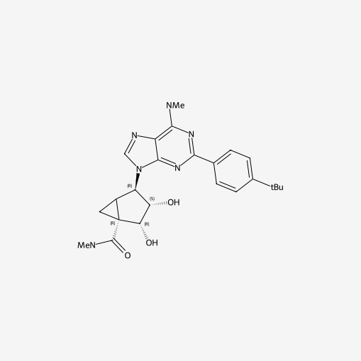 CNC(=O)[C@]12CC1[C@@H](n1cnc3c(NC)nc(-c4ccc(C(C)(C)C)cc4)nc31)[C@H](O)[C@@H]2O